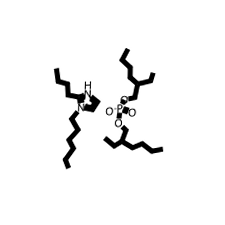 CCCCC(CC)COP(=O)([O-])OCC(CC)CCCC.CCCCCC[n+]1cc[nH]c1CCCC